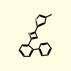 Cc1csc(C2=NC(c3ccccc3-c3ccccc3)=C2)c1